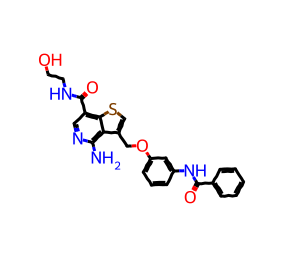 Nc1ncc(C(=O)NCCO)c2scc(COc3cccc(NC(=O)c4ccccc4)c3)c12